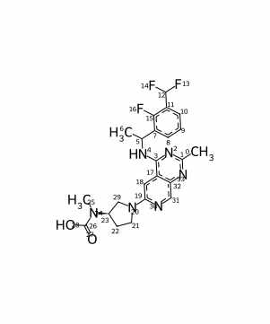 Cc1nc(NC(C)c2cccc(C(F)F)c2F)c2cc(N3CC[C@@H](N(C)C(=O)O)C3)ncc2n1